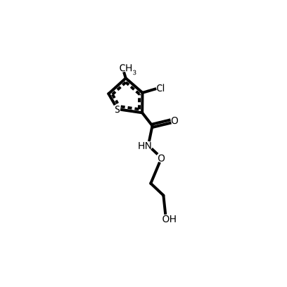 Cc1csc(C(=O)NOCCO)c1Cl